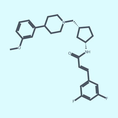 COc1cccc(C2CCN(C[C@@H]3CC[C@H](NC(=O)/C=C/c4cc(F)cc(F)c4)C3)CC2)c1